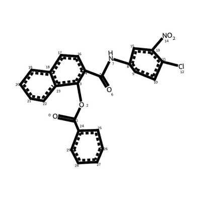 O=C(Oc1c(C(=O)Nc2ccc(Cl)c([N+](=O)[O-])c2)ccc2ccccc12)c1ccccc1